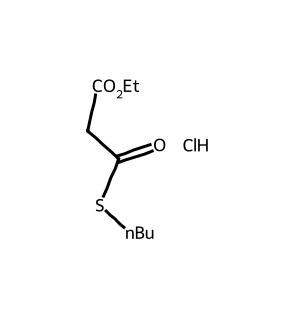 CCCCSC(=O)CC(=O)OCC.Cl